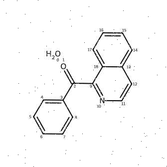 O.O=C(c1ccccc1)c1nccc2ccccc12